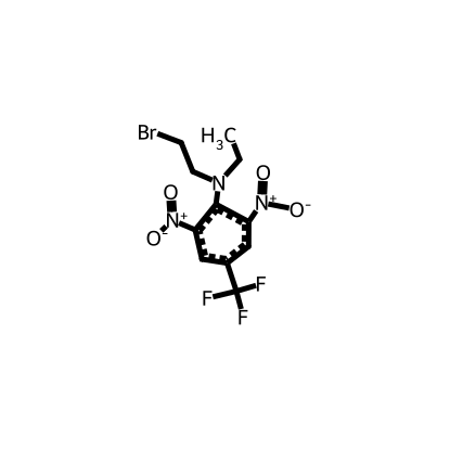 CCN(CCBr)c1c([N+](=O)[O-])cc(C(F)(F)F)cc1[N+](=O)[O-]